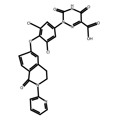 O=C(O)c1nn(-c2cc(Cl)c(Oc3ccc4c(c3)CCN(c3ccccn3)C4=O)c(Cl)c2)c(=O)[nH]c1=O